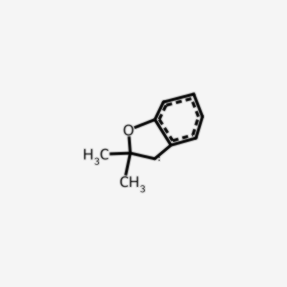 CC1(C)[C]c2ccccc2O1